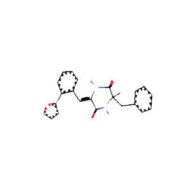 CN1C(=O)C(C)(Cc2ccccc2)N(C)C(=O)C1=Cc1ccccc1-c1ccco1